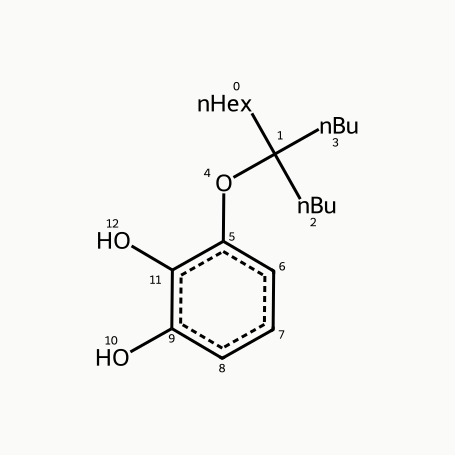 CCCCCCC(CCCC)(CCCC)Oc1cccc(O)c1O